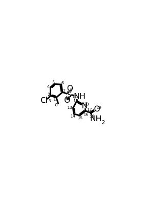 Cc1c(Cl)cccc1S(=O)(=O)Nc1cccc(C(N)=O)n1